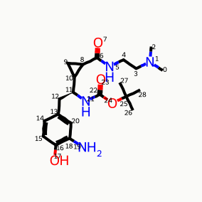 CN(C)CCNC(=O)C1CC1[C@H](Cc1ccc(O)c(N)c1)NC(=O)OC(C)(C)C